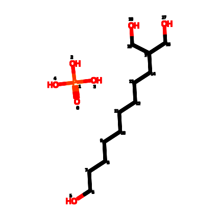 O=P(O)(O)O.OCCCCCCCCCC(CO)CO